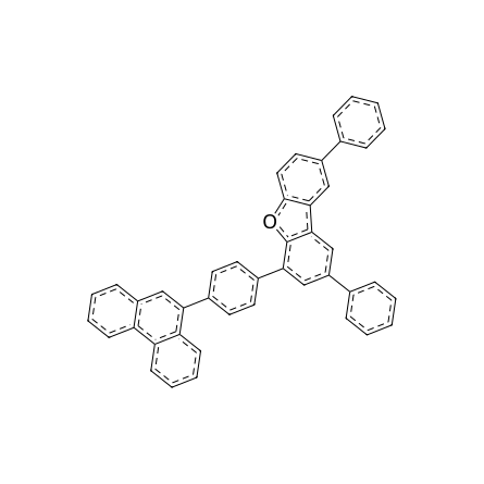 c1ccc(-c2ccc3oc4c(-c5ccc(-c6cc7ccccc7c7ccccc67)cc5)cc(-c5ccccc5)cc4c3c2)cc1